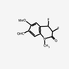 COc1cc2c(cc1C=O)N(C)C(=O)C(F)C2F